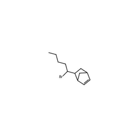 CCCCC(Br)C1CC2C=CC1C2